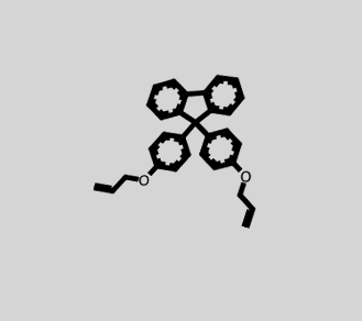 C=CCOc1ccc(C2(c3ccc(OCC=C)cc3)c3ccccc3-c3ccccc32)cc1